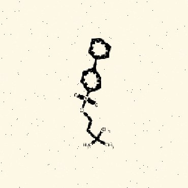 CC(C)(C)CCOS(=O)(=O)c1ccc(-c2ccccc2)cc1